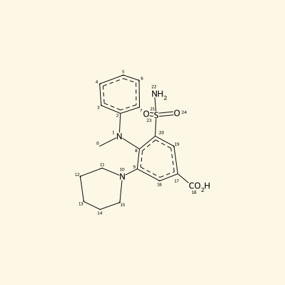 CN(c1ccccc1)c1c(N2CCCCC2)cc(C(=O)O)cc1S(N)(=O)=O